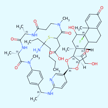 CCCCC(N)(CC)SC(CC(=O)O)C(=O)N(C)CCC(=O)N[C@@H](C)C(=O)N[C@@H](C)C(=O)N(C)c1ccc([C@@H](C)Nc2ccc([C@@H]3O[C@@H]4C[C@H]5C6CCC7=CC(=O)C=CC7(C)[C@@]6(F)C(O)C[C@]5(C)[C@]4(C(=O)CO)O3)cn2)cc1